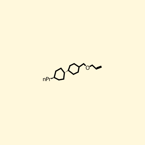 C=CCOCC1CCC([C@H]2CC[C@H](CCC)CC2)CC1